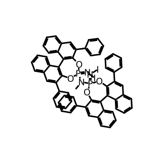 CN(P1(=NI)Oc2c(-c3ccccc3)cc3ccccc3c2-c2c(c(-c3ccccc3)cc3ccccc23)O1)P1(=NI)Oc2c(-c3ccccc3)cc3ccccc3c2-c2c(c(-c3ccccc3)cc3ccccc23)O1